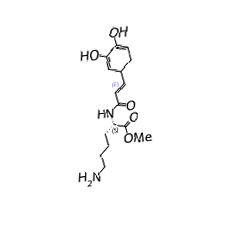 COC(=O)[C@H](CCCCN)NC(=O)/C=C/C1C=C(O)C(O)=CC1